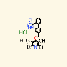 CCc1nc(CC)c(C(=O)O)c(OCc2ccc(-c3ccccc3-c3nnn[nH]3)cc2)c1C.Cl